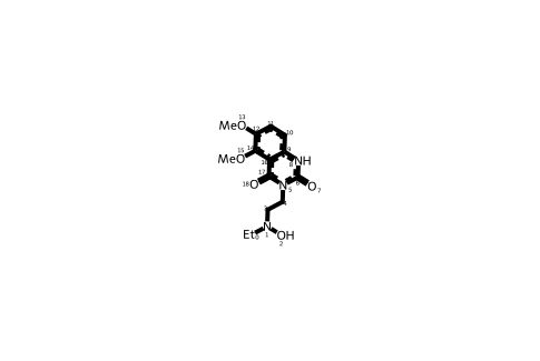 CCN(O)CCn1c(=O)[nH]c2ccc(OC)c(OC)c2c1=O